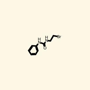 O=C(NCCBr)Nc1ccccc1